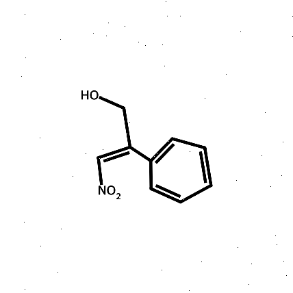 O=[N+]([O-])/C=C(/CO)c1ccccc1